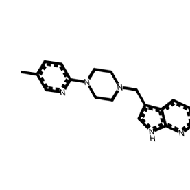 Cc1ccc(N2CCN(Cc3c[nH]c4ncccc34)CC2)nc1